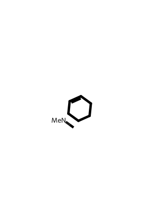 C1=CCCCC1.CNC